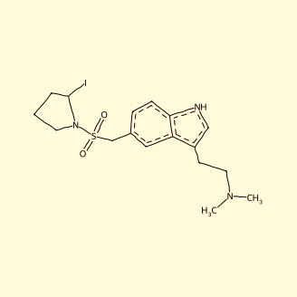 CN(C)CCc1c[nH]c2ccc(CS(=O)(=O)N3CCCC3I)cc12